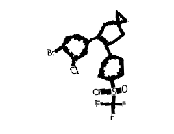 O=S(=O)(c1ccc(C2=C(c3ccc(Br)c(Cl)c3)CC3(CC3)C2)cc1)C(F)(F)F